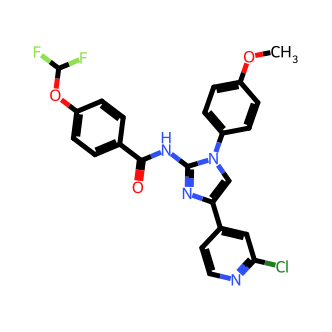 COc1ccc(-n2cc(-c3ccnc(Cl)c3)nc2NC(=O)c2ccc(OC(F)F)cc2)cc1